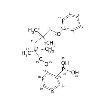 CC(C)(COc1ccccc1)CC(C)(C)COc1ccccc1P(O)O